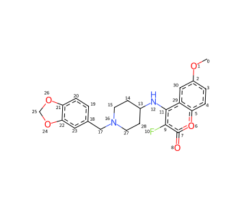 COc1ccc2oc(=O)c(F)c(NC3CCN(Cc4ccc5c(c4)OCO5)CC3)c2c1